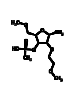 B[C@@H]1O[C@H](COC)C(OP(C)(=O)O)C1OCCOC